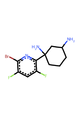 NC1CCCC(N)(c2nc(Br)c(F)cc2F)C1